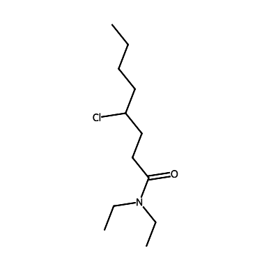 CCCCC(Cl)CCC(=O)N(CC)CC